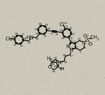 CS(=O)(=O)N1CCc2c(c(-c3ccc(Cl)c(C#Cc4cccc(CNCc5ccc(Cl)cc5)c4)c3)nn2CCCN2C[C@@H]3C[C@H]2CO3)C1